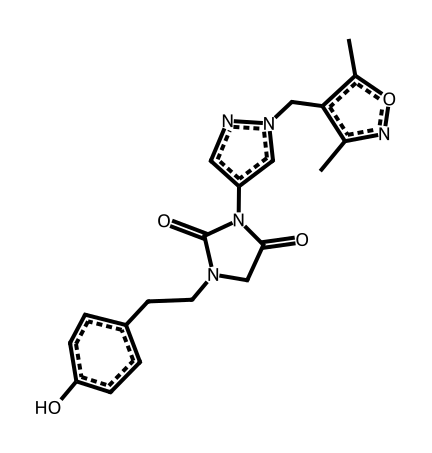 Cc1noc(C)c1Cn1cc(N2C(=O)CN(CCc3ccc(O)cc3)C2=O)cn1